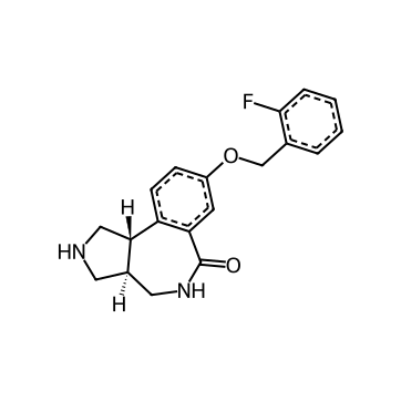 O=C1NC[C@H]2CNC[C@@H]2c2ccc(OCc3ccccc3F)cc21